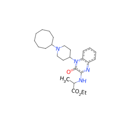 CCOC(=O)C(C)Nc1nc2ccccc2n(C2CCN(C3CCCCCCC3)CC2)c1=O